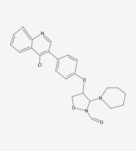 O=CN1OCC(Oc2ccc(-c3cnc4ccccc4c3Cl)cc2)C1N1CCCCC1